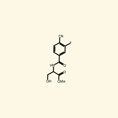 COC(=O)C(CO)NC(=O)c1ccc(C#N)c(F)c1